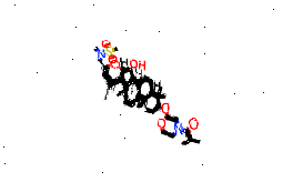 CC(C)C(=O)N1CCO[C@@H](O[C@H]2CC[C@]34C[C@]35CC[C@]3(C)C6[C@H](C)C[C@H](CN(C)S(C)(=O)=O)O[C@@H]6[C@H](O)[C@@]3(C)[C@@H]5CC[C@H]4C2(C)C)C1